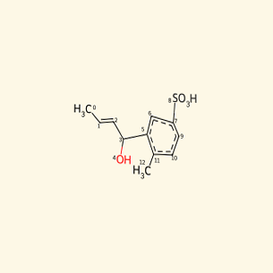 CC=CC(O)c1cc(S(=O)(=O)O)ccc1C